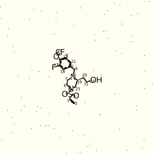 C=CS(=O)(=O)N1CCN(Cc2ccc(OC(F)(F)F)c(F)c2)[C@@H](CCO)C1